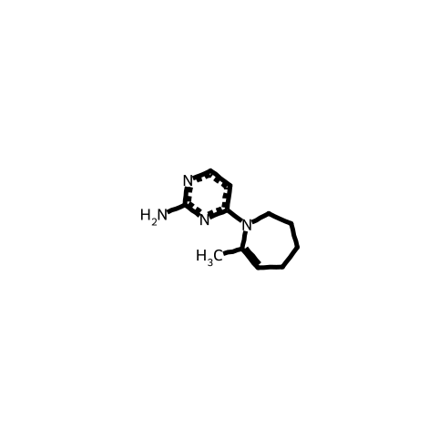 CC1=CCCCCN1c1ccnc(N)n1